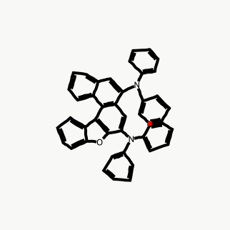 c1ccc(N(c2ccccc2)c2cc3ccccc3c3c2cc(N(c2ccccc2)c2ccccc2)c2oc4ccccc4c23)cc1